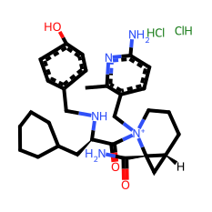 Cc1nc(N)ccc1C[N+]1(C(=O)[C@@H](CC2CCCCC2)NCc2ccc(O)cc2)CCC[C@@H]2C[C@@]21C(N)=O.Cl.Cl